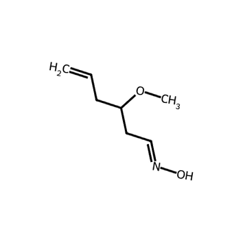 C=CCC(CC=NO)OC